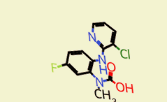 CN(C(=O)O)c1cc(F)ccc1Nc1ncccc1Cl